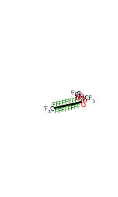 O=C(C(F)(F)C(F)(F)C(F)(F)C(F)(F)C(F)(F)C(F)(F)C(F)(F)C(F)(F)C(F)(F)F)[Si](OC(F)(F)F)(OC(F)(F)F)OC(F)(F)F